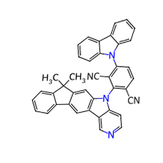 CC1(C)c2ccccc2-c2cc3c4cnccc4n(-c4c(C#N)ccc(-n5c6ccccc6c6ccccc65)c4C#N)c3cc21